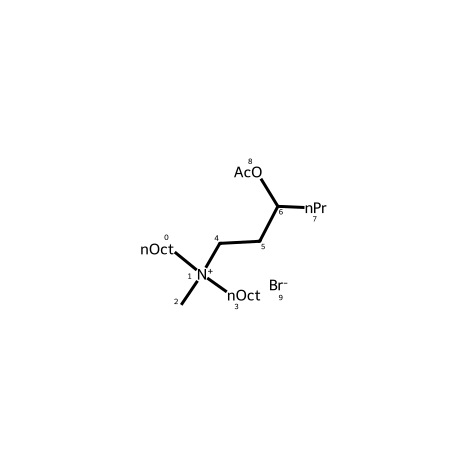 CCCCCCCC[N+](C)(CCCCCCCC)CCC(CCC)OC(C)=O.[Br-]